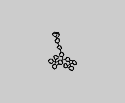 c1ccc(C2(c3ccccc3)c3ccccc3-c3ccc(N(c4ccc(-c5ccc(-c6ccc(C78CC9CC(CC(C9)C7)C8)cc6)cc5)cc4)c4ccc5c(c4)C(c4ccccc4)(c4ccccc4)c4ccccc4-5)cc32)cc1